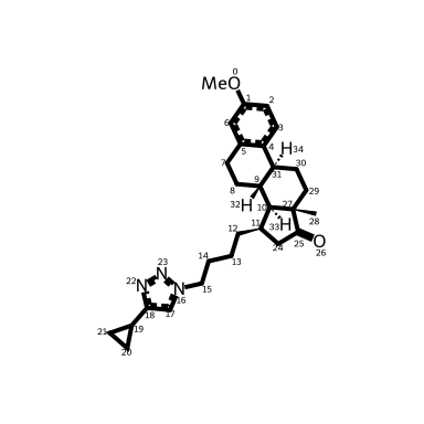 COc1ccc2c(c1)CC[C@H]1[C@@H]3[C@H](CCCCn4cc(C5CC5)nn4)CC(=O)[C@@]3(C)CC[C@H]21